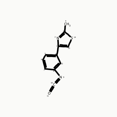 Cc1nc(-c2cccc(N=C=O)c2)cs1